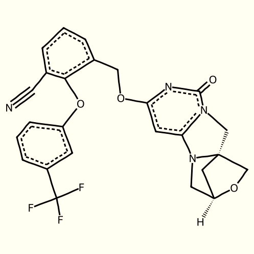 N#Cc1cccc(COc2cc3n(c(=O)n2)C[C@@]24CO[C@@H](CN32)C4)c1Oc1cccc(C(F)(F)F)c1